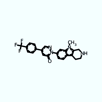 Cn1c2c(c3ccc(-n4ncc(-c5ccc(C(F)(F)F)cc5)cc4=O)cc31)CCNC2